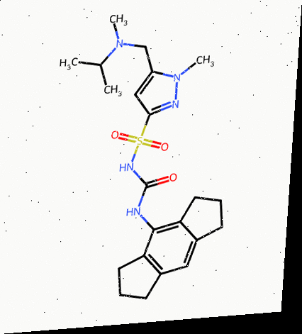 CC(C)N(C)Cc1cc(S(=O)(=O)NC(=O)Nc2c3c(cc4c2CCC4)CCC3)nn1C